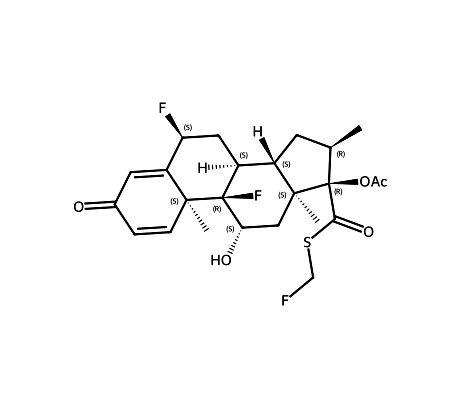 CC(=O)O[C@]1(C(=O)SCF)[C@H](C)C[C@H]2[C@@H]3C[C@H](F)C4=CC(=O)C=C[C@]4(C)[C@@]3(F)[C@@H](O)C[C@@]21C